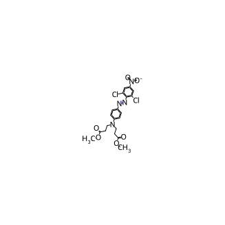 COC(=O)CCN(CCC(=O)OC)c1ccc(/N=N/c2c(Cl)cc([N+](=O)[O-])cc2Cl)cc1